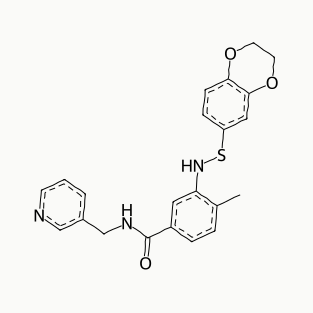 Cc1ccc(C(=O)NCc2cccnc2)cc1NSc1ccc2c(c1)OCCO2